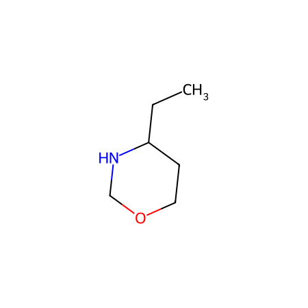 CCC1CCOCN1